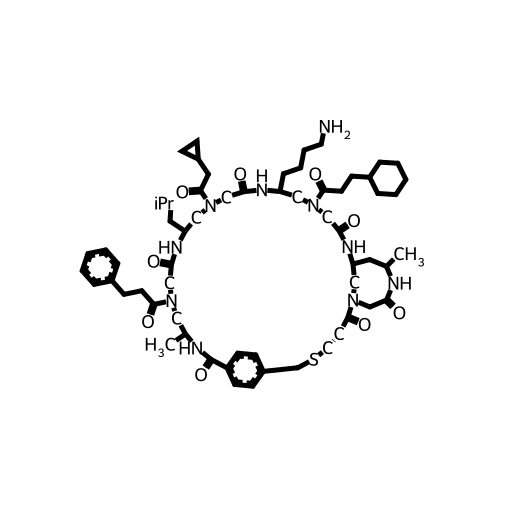 CC(C)CC1CN(C(=O)CC2CC2)CC(=O)NC(CCCCN)CN(C(=O)CCC2CCCCC2)CC(=O)NC2CC(C)NC(=O)CN(C2)C(=O)CCSCc2ccc(cc2)C(=O)NC(C)CN(C(=O)CCc2ccccc2)CC(=O)N1